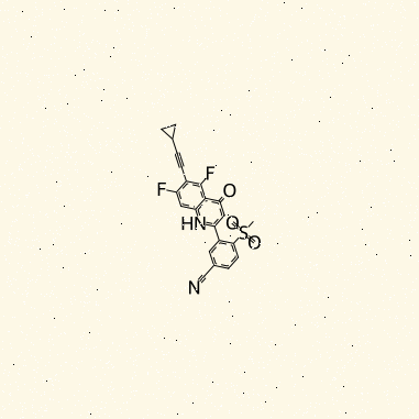 CS(=O)(=O)c1ccc(C#N)cc1-c1cc(=O)c2c(F)c(C#CC3CC3)c(F)cc2[nH]1